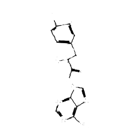 Nc1ncnc2c1ncn2OC(=O)[C@@H](N)Cc1ccc(O)cc1